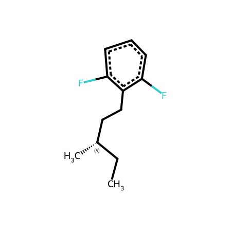 CC[C@H](C)CCc1c(F)cccc1F